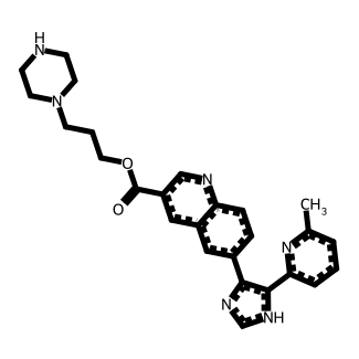 Cc1cccc(-c2[nH]cnc2-c2ccc3ncc(C(=O)OCCCN4CCNCC4)cc3c2)n1